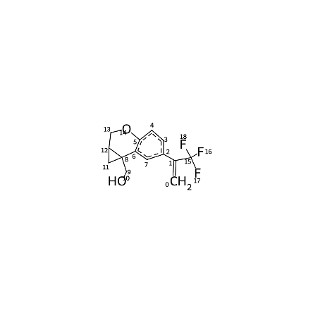 C=C(c1ccc2c(c1)C1(CO)CC1CO2)C(F)(F)F